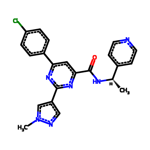 C[C@H](NC(=O)c1cc(-c2ccc(Cl)cc2)nc(-c2cnn(C)c2)n1)c1ccncc1